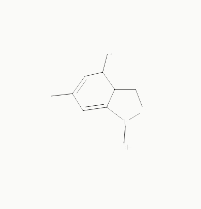 CC1=CC(C)C2COB(O)C2=C1